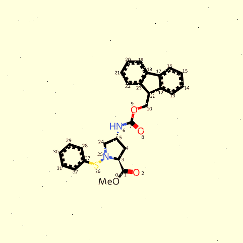 COC(=O)[C@@H]1C[C@@H](NC(=O)OCC2c3ccccc3-c3ccccc32)CN1Sc1ccccc1